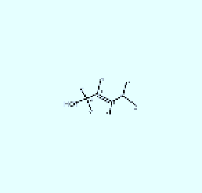 CC(=C(C)C(C)(C)O)C(C)C